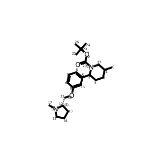 CC1CCC(c2cccc(OC[C@@H]3CCCN3C)c2)N(C(=O)OC(C)(C)C)C1